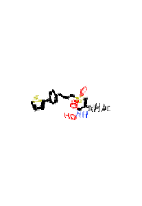 CC(=O)NC(CS(=O)(=O)CC=Cc1ccc(-c2cccs2)cc1)C(=O)NO